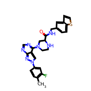 Cc1ccc(-n2cc3c(N4CCNC(C(=O)NCc5ccc6sccc6c5)C4)ncnc3n2)cc1F